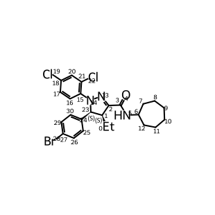 CC[C@@H]1C(C(=O)NC2CCCCCC2)=NN(c2ccc(Cl)cc2Cl)[C@@H]1c1ccc(Br)cc1